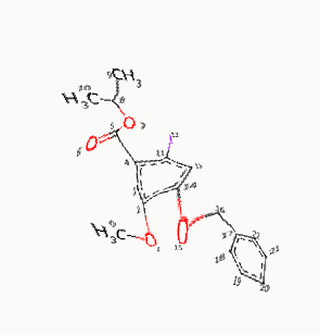 COc1cc(C(=O)OC(C)C)c(I)cc1OCc1ccccc1